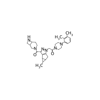 Cc1cccc(N2CCN(C(=O)Cn3nc(C(=O)N4CCC5NCC5C4)c4c3CC3C(C)C43)CC2)c1C